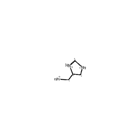 CCCCC1CN[CH]N1